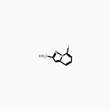 CCOC(=O)c1cc2cccc(I)n2n1